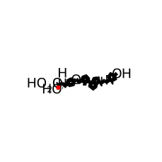 Cc1c(COc2ccc(CN[C@@H](CO)C(=O)O)cc2)cccc1-c1cccc2c1CCN2CCCN1CCC(O)CC1